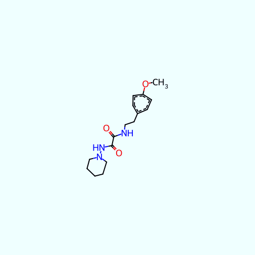 COc1ccc(CCNC(=O)C(=O)NN2CCCCC2)cc1